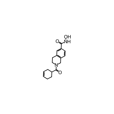 O=C(NO)c1ccc2c(c1)CCN(C(=O)C1CC=CCC1)C2